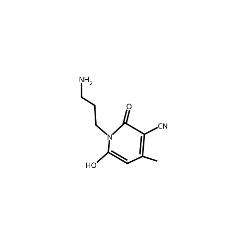 Cc1cc(O)n(CCCN)c(=O)c1C#N